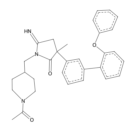 CC(=O)N1CCC(CN2C(=N)CC(C)(c3cccc(-c4ccccc4Oc4ccccc4)c3)C2=O)CC1